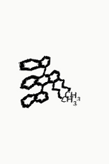 CCCCc1ccc2c(-c3cccc4ccccc34)c3ccccc3c(-c3cccc4ccccc34)c2c1CCCC